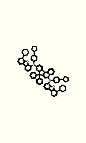 c1ccc(C2(c3ccccc3)c3cc(N(c4ccc(C5CCCC5)cc4)c4cccc5c4oc4c(C6CCCCC6)cccc45)ccc3-c3c2cc(N(c2ccc(C4CCCC4)cc2)c2cccc4c2oc2c(C5CCCCC5)cccc24)c2ccccc32)cc1